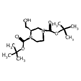 CC(C)(C)OC(=O)N1CCN(C(=O)OC(C)(C)C)[C@@H](CO)C1